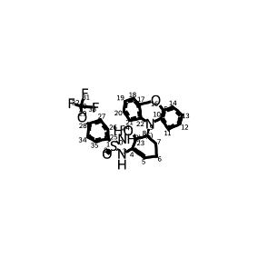 N=S(=O)(NC1=CCC[C@H](N2c3ccccc3Oc3ccccc32)[C@H]1O)c1ccc(OC(F)(F)F)cc1